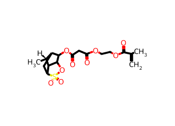 C=C(C)C(=O)OCCOC(=O)CC(=O)OC1C2OS(=O)(=O)C3CC1[C@@H](C)C23